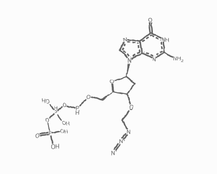 [N-]=[N+]=NCOC1C[C@H](n2cnc3c(=O)[nH]c(N)nc32)O[C@@H]1COPO[PH](O)(O)OP(=O)(O)O